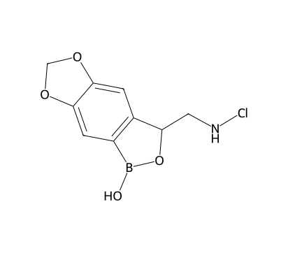 OB1OC(CNCl)c2cc3c(cc21)OCO3